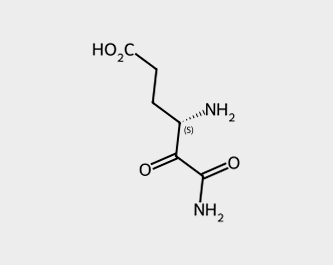 NC(=O)C(=O)[C@@H](N)CCC(=O)O